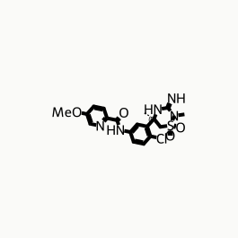 COc1ccc(C(=O)Nc2ccc(Cl)c([C@]3(C)CS(=O)(=O)N(C)C(=N)N3)c2)nc1